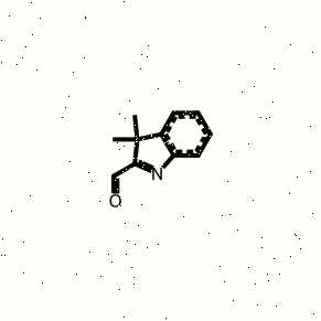 CC1(C)C(C=O)=Nc2ccccc21